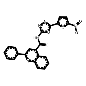 O=C(Nc1nnc(-c2ccc([N+](=O)[O-])o2)o1)c1cc(-c2ccccc2)nc2ccccc12